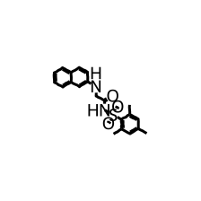 Cc1cc(C)c(S(=O)(=O)NC(=O)CNc2ccc3ccccc3c2)c(C)c1